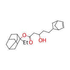 CCC1(OC(=O)CC(O)CCC2CC3C=CC2C3)C2CC3CC(C2)CC1C3